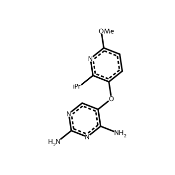 COc1ccc(Oc2cnc(N)nc2N)c(C(C)C)n1